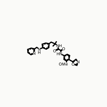 COc1cc(NC(=O)C(=O)NC(C)(C)Cc2ccc(NCc3ccccn3)cc2)ccc1-c1cnco1